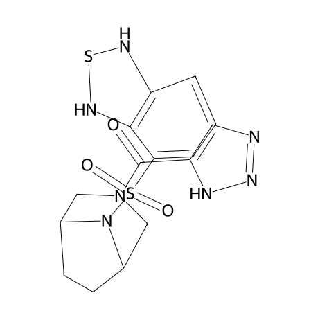 O=C(c1cnn[nH]1)N1CC2CCC(C1)N2S(=O)(=O)c1cccc2c1NSN2